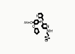 C=S(C)(=O)CCNc1ccc(N(Cc2cccnc2)c2ccc(OC)c(OC3CCCC3)c2)cn1